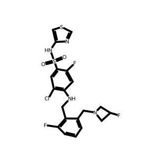 O=S(=O)(Nc1cscn1)c1cc(Cl)c(NCc2c(F)cccc2CN2CC(F)C2)cc1F